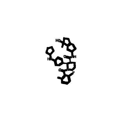 Cc1cccc(F)c1C(=O)N1CCC[C@H](C(=O)Nc2ccc3c(c2)C(C)(O)CC3)[C@@H]1c1ccc(NC2CCCC2)cc1